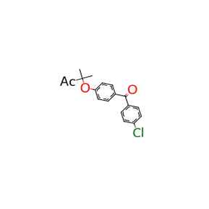 CC(=O)C(C)(C)Oc1ccc(C(=O)c2ccc(Cl)cc2)cc1